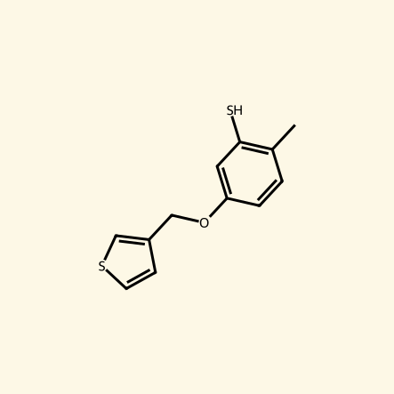 Cc1ccc(OCc2ccsc2)cc1S